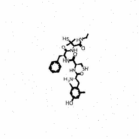 CCNC(=O)[C@H](NC(=O)[C@H](Cc1ccccc1)NC(=O)[C@@H](CS)NC(=O)[C@@H](N)Cc1c(C)cc(O)cc1C)C(C)(C)S